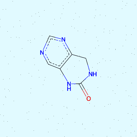 O=C1NCc2ncncc2N1